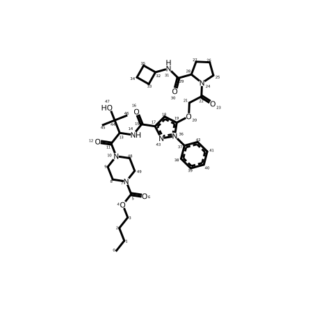 CCCCOC(=O)N1CCN(C(=O)C(NC(=O)c2cc(OCC(=O)N3CCCC3C(=O)NC3CCC3)n(-c3ccccc3)n2)C(C)(C)O)CC1